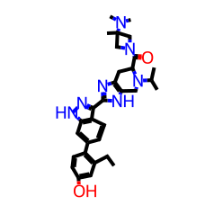 CCc1cc(O)ccc1-c1ccc2c(-c3nc4c([nH]3)CN(C(C)C)C(C(=O)N3CC(C)(N(C)C)C3)C4)n[nH]c2c1